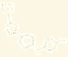 CCCCc1ccc(Nc2ccc(-c3noc(C4CCNC4)n3)cn2)cc1